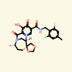 Cc1cc(F)c(CNC(=O)c2cn3c(c(O)c2=O)C(=O)N2C[C@@H]3[C@@]3(CC[C@@H]2C)COCO3)c(F)c1